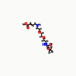 COC(=O)/C=C/CN(C)CCOCCOCCNC(=O)OC(C)(C)C